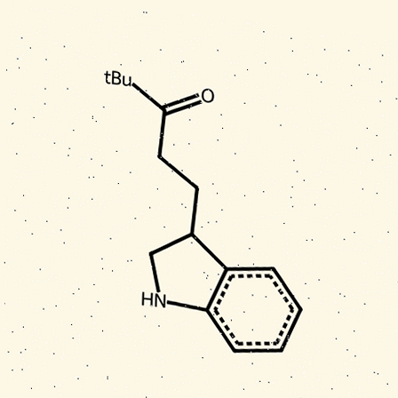 CC(C)(C)C(=O)CCC1CNc2ccccc21